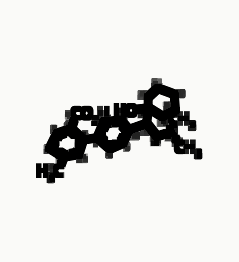 Cc1ccc(C(=O)O)c(-c2ccc(C(CN(C)C)C3(O)CCCCC3)cc2)c1